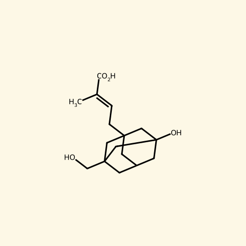 CC(=CCC12CC3CC(O)(CC(CO)(C3)C1)C2)C(=O)O